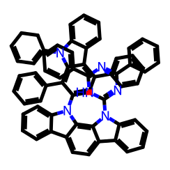 C1=CCCC(n2c3ccccc3c3c(-c4ccccc4)cc(-n4c5ccccc5c5ccc6c7ccccc7n(C7=NC(c8ccccc8)=NC(c8ccccc8)N7)c6c54)c(-c4ccccc4)c32)=C1